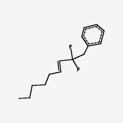 CCCCC/C=C/C(F)(F)Cc1ccccc1